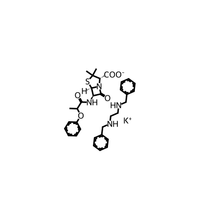 CC(Oc1ccccc1)C(=O)N[C@@H]1C(=O)N2[C@@H]1SC(C)(C)[C@@H]2C(=O)[O-].[K+].c1ccc(CNCCNCc2ccccc2)cc1